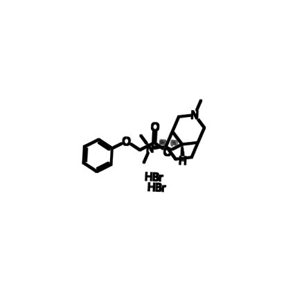 Br.Br.CN1CC2CC[C@@H](N(C)C)C(C1)[C@H]2OC(=O)COc1ccccc1